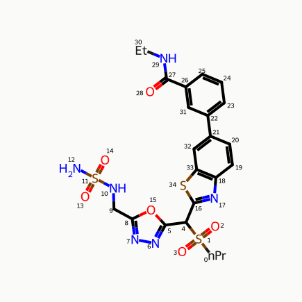 CCCS(=O)(=O)C(c1nnc(CNS(N)(=O)=O)o1)c1nc2ccc(-c3cccc(C(=O)NCC)c3)cc2s1